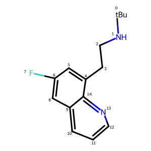 CC(C)(C)NCCc1cc(F)cc2cccnc12